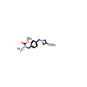 COC1CN(Cc2ccc(CN(C)C(=O)OC(C)(C)C)cc2)C1